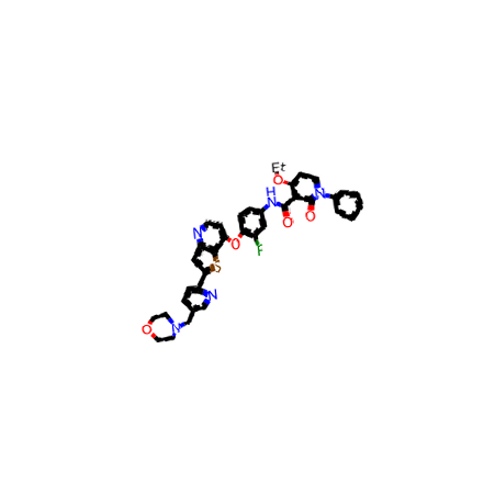 CCOc1ccn(-c2ccccc2)c(=O)c1C(=O)Nc1ccc(Oc2ccnc3cc(-c4ccc(CN5CCOCC5)cn4)sc23)c(F)c1